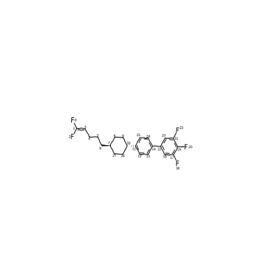 FC(F)=CCCC[C@H]1CC[C@H](c2ccc(-c3cc(F)c(F)c(F)c3)cc2)CC1